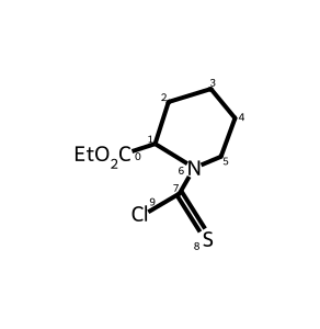 CCOC(=O)C1CCCCN1C(=S)Cl